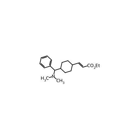 CCOC(=O)/C=C/C1CCC(C(c2ccccc2)N(C)C)CC1